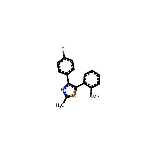 CSc1ccccc1-c1sc(C)nc1-c1ccc(F)cc1